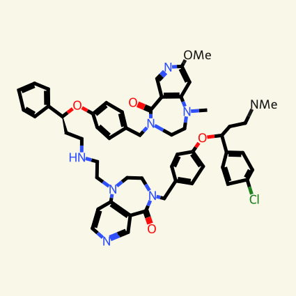 CNCCC(Oc1ccc(CN2CCN(CCNCC[C@H](Oc3ccc(CN4CCN(C)c5cc(OC)ncc5C4=O)cc3)c3ccccc3)c3ccncc3C2=O)cc1)c1ccc(Cl)cc1